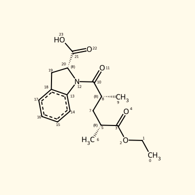 CCOC(=O)[C@H](C)C[C@@H](C)C(=O)N1c2ccccc2C[C@@H]1C(=O)O